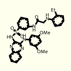 CCc1ccccc1NCC(=O)Nc1cccc(S(=O)(=O)Nc2nc3ccccc3nc2Nc2cc(OC)cc(OC)c2)c1